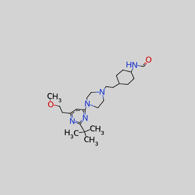 COCCc1cc(N2CCN(CCC3CCC(NC=O)CC3)CC2)nc(C(C)(C)C)n1